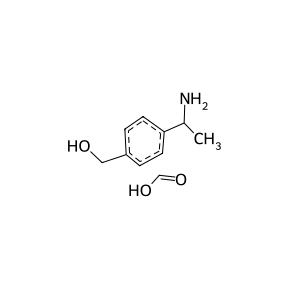 CC(N)c1ccc(CO)cc1.O=CO